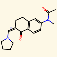 CC(=O)N(C)c1ccc2c(c1)CC/C(=C/N1CCCC1)C2=O